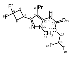 CC(C)c1c(C2CC(F)(F)C2)nn(C)c1NC(=O)OCC(F)F